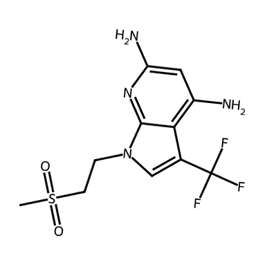 CS(=O)(=O)CCn1cc(C(F)(F)F)c2c(N)cc(N)nc21